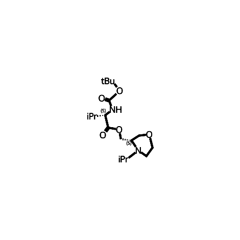 CC(C)[C@H](NC(=O)OC(C)(C)C)C(=O)OC[C@@H]1COCCN1C(C)C